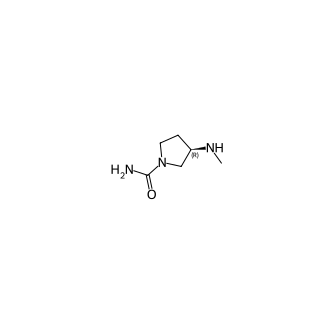 CN[C@@H]1CCN(C(N)=O)C1